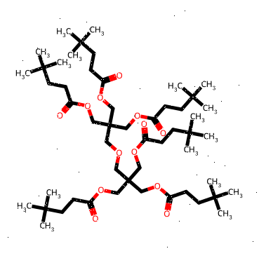 CC(C)(C)CCC(=O)OCC(COCC(COC(=O)CCC(C)(C)C)(COC(=O)CCC(C)(C)C)COC(=O)CCC(C)(C)C)(COC(=O)CCC(C)(C)C)COC(=O)CCC(C)(C)C